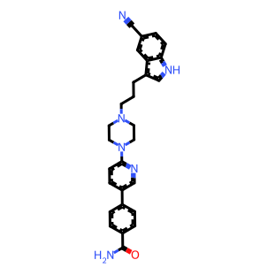 N#Cc1ccc2[nH]cc(CCCN3CCN(c4ccc(-c5ccc(C(N)=O)cc5)cn4)CC3)c2c1